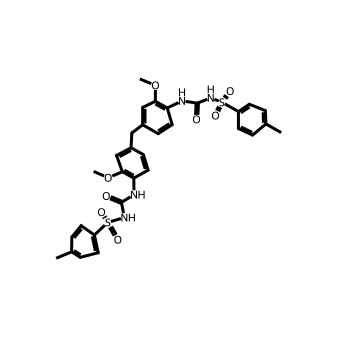 COc1cc(Cc2ccc(NC(=O)NS(=O)(=O)c3ccc(C)cc3)c(OC)c2)ccc1NC(=O)NS(=O)(=O)c1ccc(C)cc1